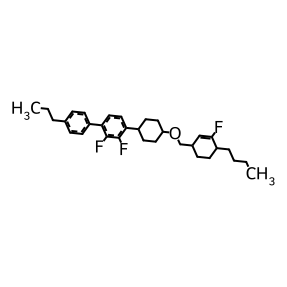 CCCCC1CCC(COC2CCC(c3ccc(-c4ccc(CCC)cc4)c(F)c3F)CC2)C=C1F